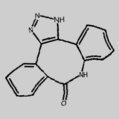 O=C1Nc2ccccc2-c2[nH]nnc2-c2ccccc21